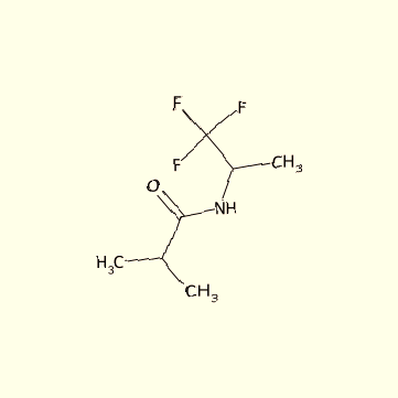 CC(C)C(=O)NC(C)C(F)(F)F